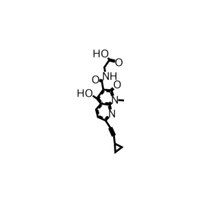 Cn1c(=O)c(C(=O)NCC(=O)O)c(O)c2ccc(C#CC3CC3)nc21